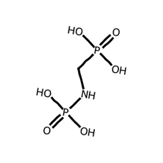 O=P(O)(O)CNP(=O)(O)O